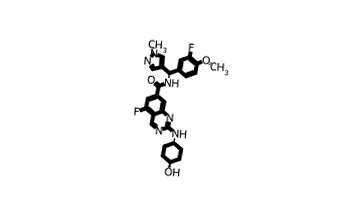 COc1ccc([C@H](NC(=O)c2cc(F)c3cnc(N[C@H]4CC[C@H](O)CC4)nc3c2)c2cnn(C)c2)cc1F